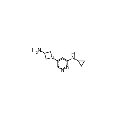 NC1CN(c2cnnc(NC3CC3)c2)C1